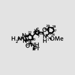 COC[C@H](NC(=O)c1cc(-c2cc(C(=O)NC(C)C)n3nc(N)nc3c2)cs1)c1ccccc1